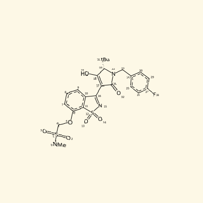 CNS(=O)(=O)COc1cccc2c1S(=O)(=O)N=C2C1=C(O)[C@H](C(C)(C)C)N(Cc2ccc(F)cc2)C1=O